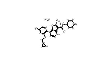 Cc1[nH]c2c(-c3ccc(F)cc3OCC3CC3)ccnc2c1C(=O)NC1CCNCC1.Cl